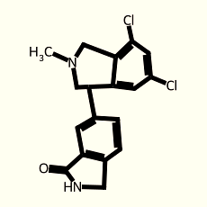 CN1Cc2c(Cl)cc(Cl)cc2C(c2ccc3c(c2)C(=O)NC3)C1